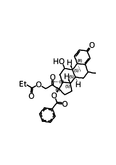 CCC(=O)OCC(=O)[C@@]1(OC(=O)c2ccccc2)CC[C@H]2[C@@H]3CC(C)C4=CC(=O)C=C[C@]4(C)[C@H]3C(O)C[C@@]21C